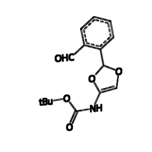 CC(C)(C)OC(=O)NC1=COC(c2ccccc2C=O)O1